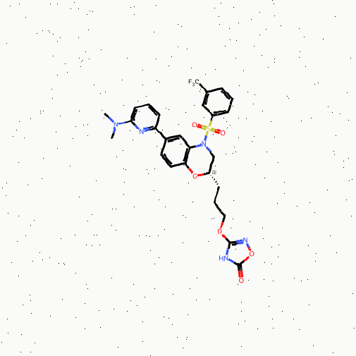 CN(C)c1cccc(-c2ccc3c(c2)N(S(=O)(=O)c2cccc(C(F)(F)F)c2)C[C@H](CCCOc2noc(=O)[nH]2)O3)n1